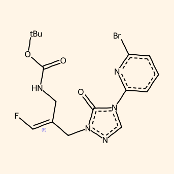 CC(C)(C)OC(=O)NC/C(=C\F)Cn1ncn(-c2cccc(Br)n2)c1=O